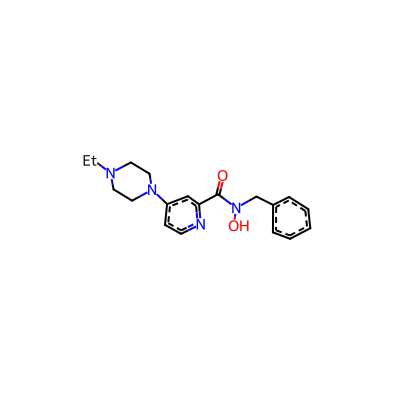 CCN1CCN(c2ccnc(C(=O)N(O)Cc3ccccc3)c2)CC1